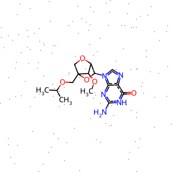 COC1C2OCC1(COC(C)C)OC2n1cnc2c(=O)[nH]c(N)nc21